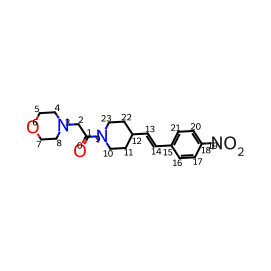 O=C(CN1CCOCC1)N1CCC(C=Cc2ccc([N+](=O)[O-])cc2)CC1